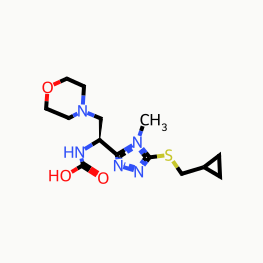 Cn1c(SCC2CC2)nnc1[C@H](CN1CCOCC1)NC(=O)O